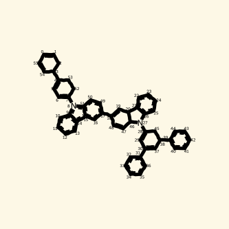 C1=CCC(C2=CC=C(n3c4ccccc4c4cc(C5=CC6c7ccccc7N(C7=CC(c8ccccc8)=CC(c8ccccc8)C7)C6C=C5)ccc43)CC2)C=C1